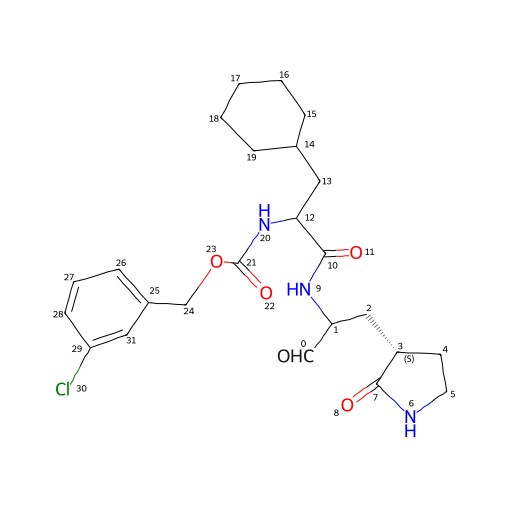 O=CC(C[C@@H]1CCNC1=O)NC(=O)C(CC1CCCCC1)NC(=O)OCc1cccc(Cl)c1